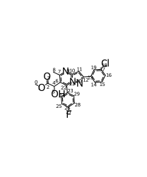 COC(=O)C(O)c1c(C)nc2cc(-c3cccc(Cl)c3)nn2c1-c1ccc(F)cc1